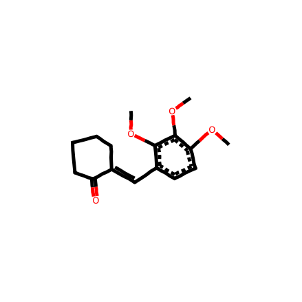 COc1ccc(C=C2CCCCC2=O)c(OC)c1OC